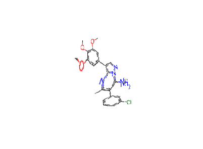 COc1cc(-c2cnn3c(N)c(-c4cccc(Cl)c4)c(C)nc23)cc(OC)c1OC